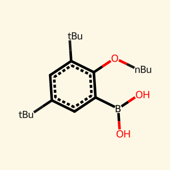 CCCCOc1c(B(O)O)cc(C(C)(C)C)cc1C(C)(C)C